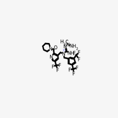 CN(N)/N=C(\N)N(Cc1cc(C(F)(F)F)cc(C(F)(F)F)c1)Cc1cc(C(F)(F)F)cnc1C(=O)N1CCCCC1